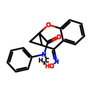 CN(C(=O)C12CC1C(=NO)c1ccccc1O2)c1ccccc1